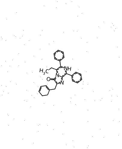 CCc1c(-c2ccccc2)[nH]c(-c2ccccc2)c2nc(CC3=CC=CCC3)c(=O)n1-2